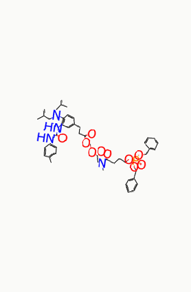 Cc1ccc(NC(=O)Nc2cc(CCC(=O)OCOC(=O)CN(C)C(=O)CCCOP(=O)(OCc3ccccc3)OCc3ccccc3)ccc2N(CC(C)C)CC(C)C)cc1